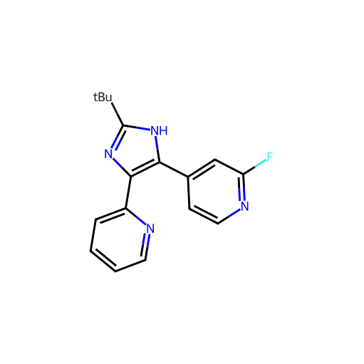 CC(C)(C)c1nc(-c2ccccn2)c(-c2ccnc(F)c2)[nH]1